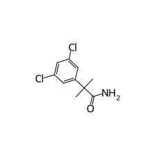 CC(C)(C(N)=O)c1cc(Cl)cc(Cl)c1